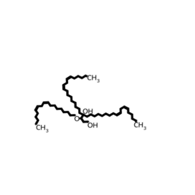 CCCCC/C=C\C/C=C\CCCCCCCCOC(CCO)C(O)(CCCCCCCC/C=C\C/C=C\CCCCC)CCCCCCCC/C=C\C/C=C\CCCCC